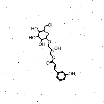 O=C(/C=C/c1cccc(O)c1)OC[C@@H](O)COC1OC(CO)C(O)C(O)C1O